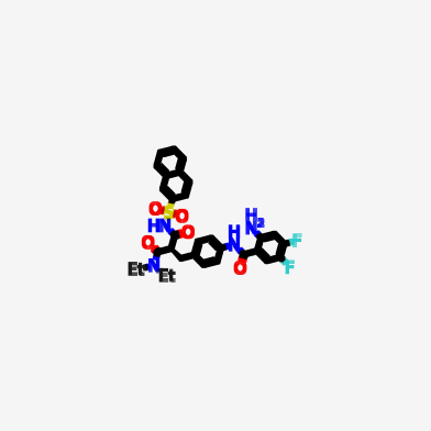 CCN(CC)C(=O)[C@H](Cc1ccc(NC(=O)c2cc(F)c(F)cc2N)cc1)C(=O)NS(=O)(=O)c1ccc2ccccc2c1